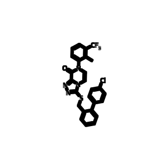 Cc1c(-n2ccn3c(SCc4ccccc4-c4ccc(Cl)cc4)nnc3c2=O)cccc1C(F)(F)F